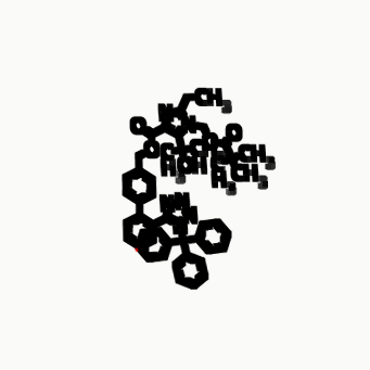 CCc1nc(C(=O)OCc2ccc(-c3ccccc3-c3nnnn3C(c3ccccc3)(c3ccccc3)c3ccccc3)cc2)c(C(C)(C)O)n1COC(=O)C(C)(C)C